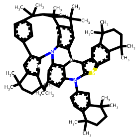 Cc1cc2c3c(c1)N(c1ccc4c(c1)C(C)(C)CCC4(C)C)c1sc4cc5c(cc4c1B3c1cc3c4cc1N2c1cc2c(cc1-c1ccc(cc1)C(C)(C)C(CC3(C)C)C4(C)C)C(C)(C)CCC2(C)C)C(C)(C)CCC5(C)C